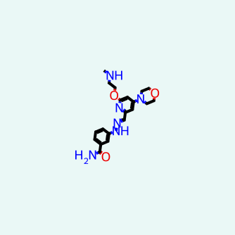 CNCCOc1cc(N2CCOCC2)cc(/C=N/Nc2cccc(C(N)=O)c2)n1